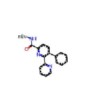 CCCCNC(=O)c1ccc(-c2ccccc2)c(-c2ccccn2)n1